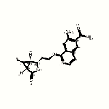 COc1cc2c(OCC[C@H]3NC(=O)[C@@H]4C(C)[C@@H]43)nccc2cc1C(N)=O